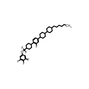 CCCCCCC1CCC(C2CCC(c3ccc(C4CCC(C(F)(F)Oc5cc(F)c(F)c(F)c5)CC4)c(F)c3)CC2)CC1